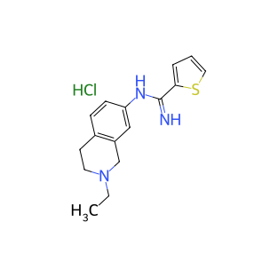 CCN1CCc2ccc(NC(=N)c3cccs3)cc2C1.Cl